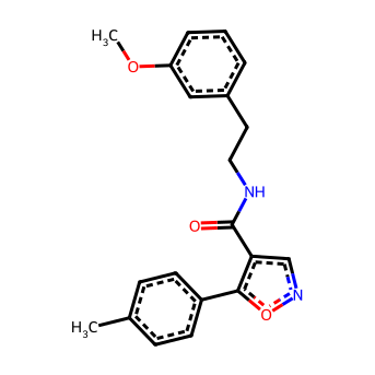 COc1cccc(CCNC(=O)c2cnoc2-c2ccc(C)cc2)c1